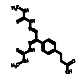 CNC(=S)N/N=C/C(=N/NC(=S)NC)c1ccc(CCC(=O)O)cc1